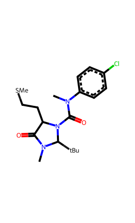 CSCCC1C(=O)N(C)C(C(C)(C)C)N1C(=O)N(C)c1ccc(Cl)cc1